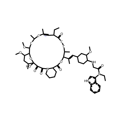 CCC1/C=C(\C)CC(C)CC(OC)C2OC(O)(C(=O)C(=O)N3CCCCC3C(=O)OC(C(C)=CC3CCC(NCC(=O)N(CC)c4c[nH]c5ccccc45)C(OC)C3)C(C)CCC1=O)C(C)CC2OC